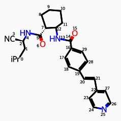 CC(C)C[C@@H](C#N)NC(=O)[C@@H]1CCCCC1NC(=O)c1ccc(/C=C/c2ccncc2)cc1